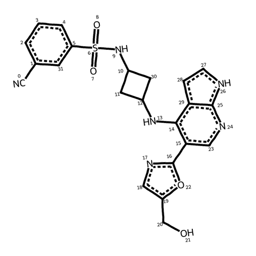 N#Cc1cccc(S(=O)(=O)NC2CC(Nc3c(-c4ncc(CO)o4)cnc4[nH]ccc34)C2)c1